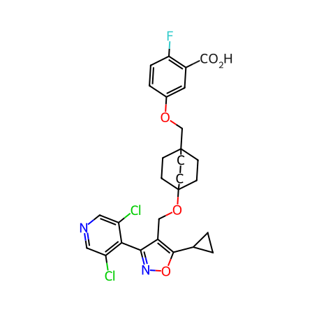 O=C(O)c1cc(OCC23CCC(OCc4c(-c5c(Cl)cncc5Cl)noc4C4CC4)(CC2)CC3)ccc1F